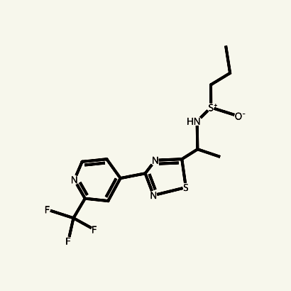 CCC[S+]([O-])NC(C)c1nc(-c2ccnc(C(F)(F)F)c2)ns1